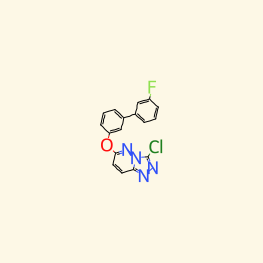 Fc1cccc(-c2cccc(Oc3ccc4nnc(Cl)n4n3)c2)c1